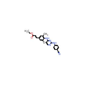 CCOC(=O)/C=C/c1cc(C)c(Nc2ccnc(Nc3ccc(C#N)cc3)n2)c(C)c1